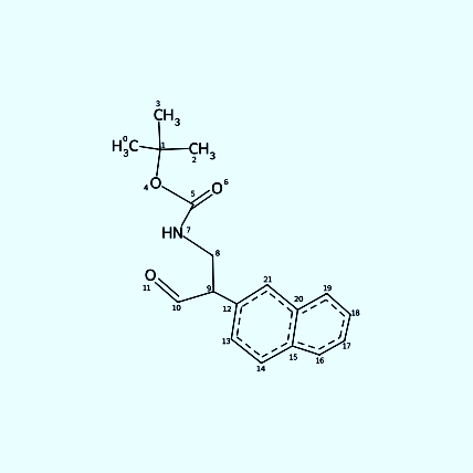 CC(C)(C)OC(=O)NCC(C=O)c1ccc2ccccc2c1